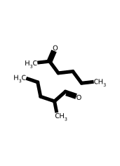 CCCC(C)C=O.CCCCC(C)=O